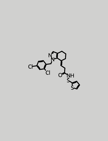 O=C(C/C=C1\CCCc2cnn(Cc3ccc(Cl)cc3Cl)c21)NSc1cccs1